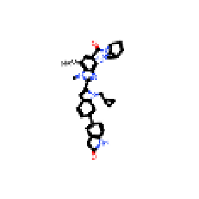 COc1cc(C(=O)N2CC3CCC2C3N)cc2nc(-c3cc4ccc(-c5ccc6c(c5)CC(=O)N6)cc4n3CC3CC3)n(C)c12